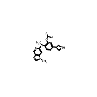 CN(c1cc2c(cn1)ncn2C)c1ccc(C2CNC2)cc1OC(F)F